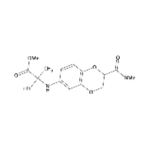 CCCC(C)(Nc1ccc2c(c1)OCC(C(=O)NC)O2)C(=O)OC